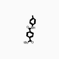 Cc1ccc(NC(=O)c2ccc(C(=O)C(C)(C)C)cc2)cc1